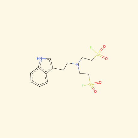 O=S(=O)(F)CCN(CCc1c[nH]c2ccccc12)CCS(=O)(=O)F